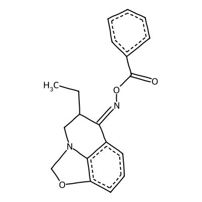 CCC1CN2COc3cccc(c32)/C1=N/OC(=O)c1ccccc1